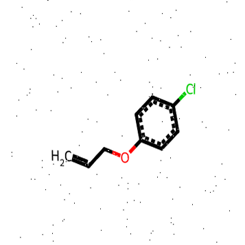 C=CCOc1c[c]c(Cl)cc1